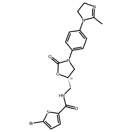 CC1=NCCN1c1ccc(N2C[C@H](CNC(=O)c3ccc(Br)s3)OC2=O)cc1